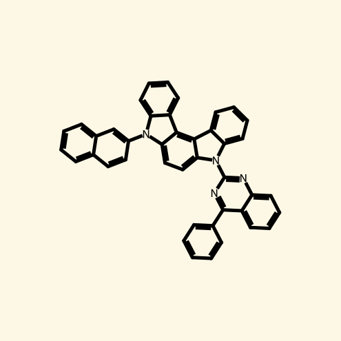 c1ccc(-c2nc(-n3c4ccccc4c4c5c6ccccc6n(-c6ccc7ccccc7c6)c5ccc43)nc3ccccc23)cc1